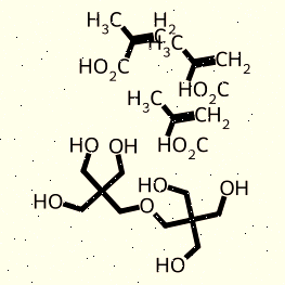 C=C(C)C(=O)O.C=C(C)C(=O)O.C=C(C)C(=O)O.OCC(CO)(CO)COCC(CO)(CO)CO